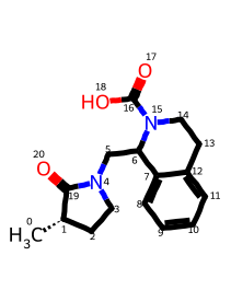 C[C@H]1CCN(CC2c3ccccc3CCN2C(=O)O)C1=O